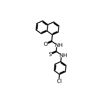 O=C(NC(=S)Nc1ccc(Cl)cc1)c1cccc2ccccc12